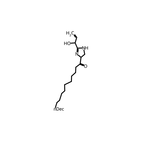 C=CC(O)C1=NC(C(=O)CCCCCCCCCCCCCCCCCCC)CN1